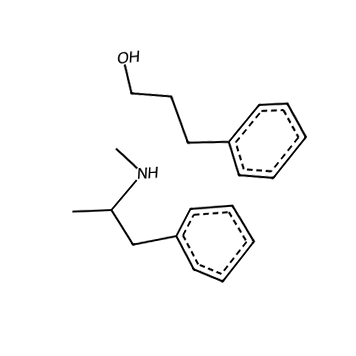 CNC(C)Cc1ccccc1.OCCCc1ccccc1